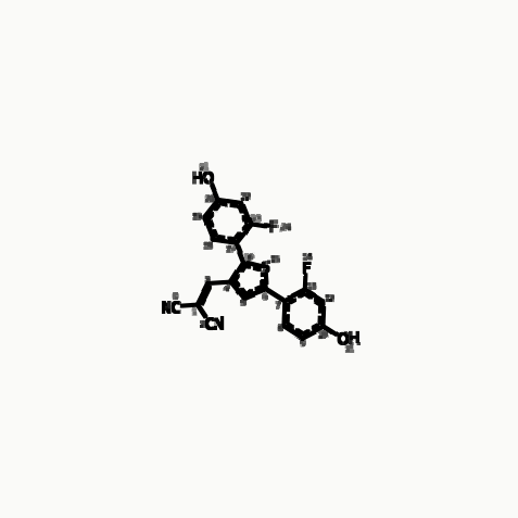 N#CC(C#N)=Cc1cc(-c2ccc(O)cc2F)sc1-c1ccc(O)cc1F